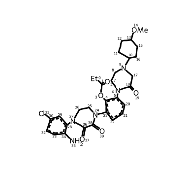 CCC(=O)Oc1c(N2CCN(C3CCC(OC)CC3)CC2=O)cccc1N1CCN(c2cc(Cl)ccc2N)C(=O)C1=O